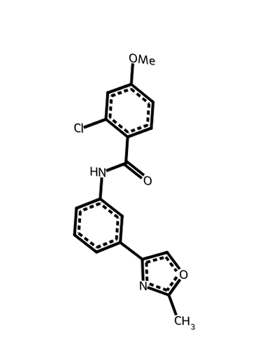 COc1ccc(C(=O)Nc2cccc(-c3coc(C)n3)c2)c(Cl)c1